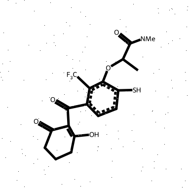 CNC(=O)C(C)Oc1c(S)ccc(C(=O)C2=C(O)CCCC2=O)c1C(F)(F)F